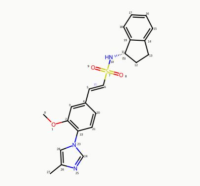 COc1cc(/C=C/S(=O)(=O)N[C@H]2CCc3ccccc32)ccc1-n1cnc(C)c1